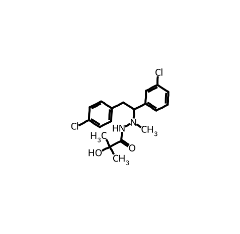 CN(NC(=O)C(C)(C)O)C(Cc1ccc(Cl)cc1)c1cccc(Cl)c1